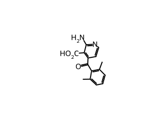 Cc1cccc(C)c1C(=O)c1ccnc(N)c1C(=O)O